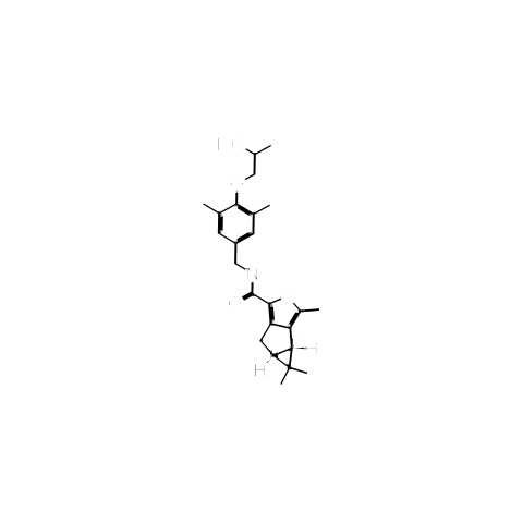 Cc1cc(CNC(=O)c2sc(C)c3c2C[C@@H]2[C@H]3C2(C)C)cc(C)c1OCC(C)O